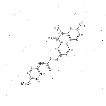 COc1ccc(NC(=O)C=Cc2cccc(C(=O)N(C)c3cccc(C(F)(F)F)c3)c2)nn1